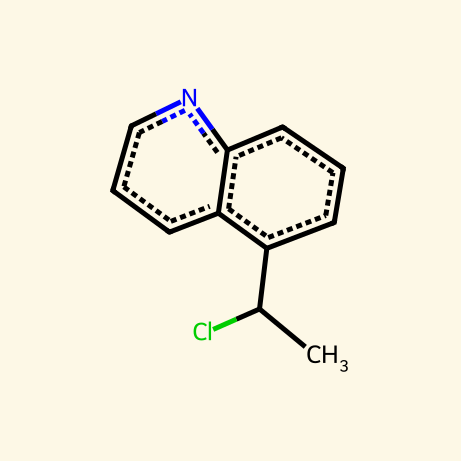 CC(Cl)c1cccc2ncccc12